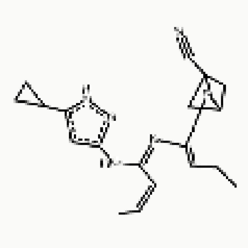 C\C=C/C(=N\C(=C\CC)N1CC2(C#N)CC1C2)Nc1cc(C2CC2)[nH]n1